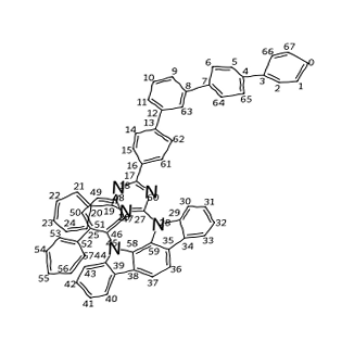 c1ccc(-c2ccc(-c3cccc(-c4ccc(-c5nc(-c6ccccc6)nc(-n6c7ccccc7c7ccc8c9ccccc9n(-c9ccccc9-c9ccccc9)c8c76)n5)cc4)c3)cc2)cc1